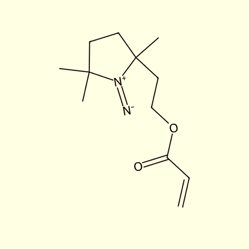 C=CC(=O)OCCC1(C)CCC(C)(C)[N+]1=[N-]